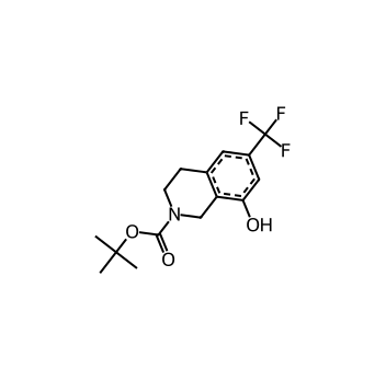 CC(C)(C)OC(=O)N1CCc2cc(C(F)(F)F)cc(O)c2C1